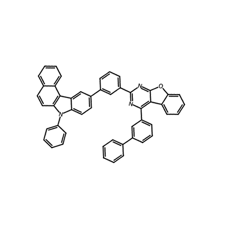 c1ccc(-c2cccc(-c3nc(-c4cccc(-c5ccc6c(c5)c5c7ccccc7ccc5n6-c5ccccc5)c4)nc4oc5ccccc5c34)c2)cc1